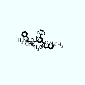 Cc1ccc(CN(C)C(=O)c2cc(-c3ncco3)nc(-c3nnc([C@@](C)(N)Cc4ccccc4)o3)c2)cn1